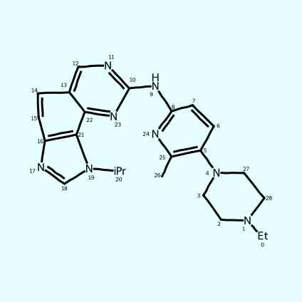 CCN1CCN(c2ccc(Nc3ncc4ccc5ncn(C(C)C)c5c4n3)nc2C)CC1